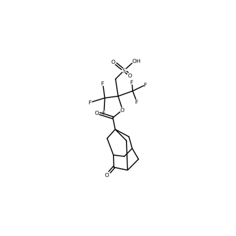 O=C1C2CC3CC1CC(C(=O)OC(CS(=O)(=O)O)(C(F)(F)F)C(F)(F)F)(C3)C2